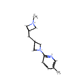 Cc1ccc(N2CC(CC3CN(C)C3)C2)nc1